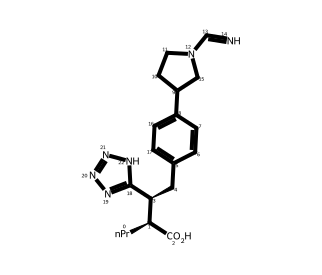 CCC[C@H](C(=O)O)[C@H](Cc1ccc(C2CCN(C=N)C2)cc1)c1nnn[nH]1